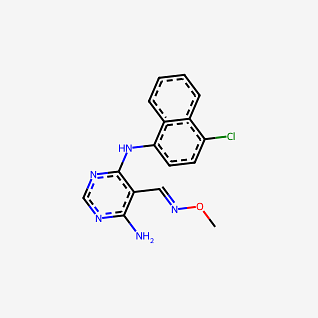 CON=Cc1c(N)ncnc1Nc1ccc(Cl)c2ccccc12